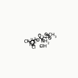 CS(=O)(=O)CC[C@H](N)C(=O)OCc1cc(Cl)nc(Cl)c1.Cl